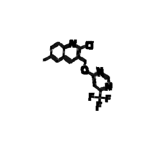 Cc1ccc2nc(Cl)c(COc3cc(C(F)(F)F)ncn3)cc2c1